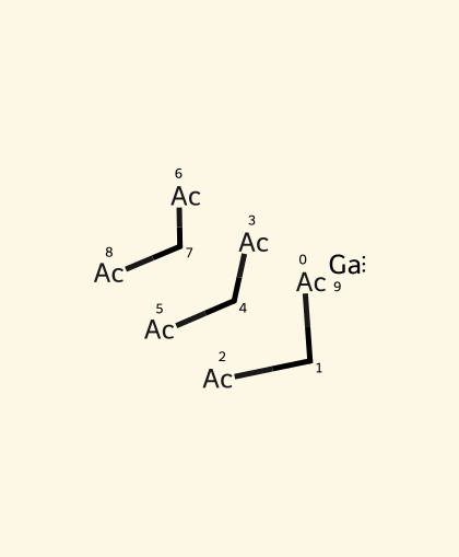 CC(=O)CC(C)=O.CC(=O)CC(C)=O.CC(=O)CC(C)=O.[Ga]